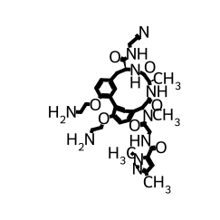 Cc1cc(C(=O)NCC(=O)N(C)[C@@H]2C(=O)N[C@@H](C)C(=O)N[C@H](C(=O)NCC#N)Cc3ccc(OCCN)c(c3)-c3cc2ccc3OCCN)n(C)n1